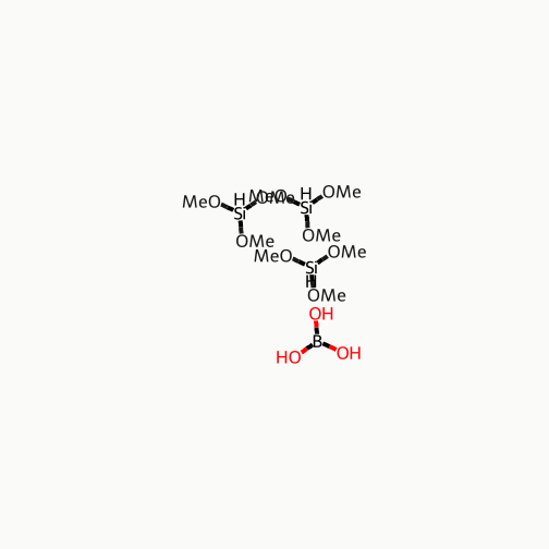 CO[SiH](OC)OC.CO[SiH](OC)OC.CO[SiH](OC)OC.OB(O)O